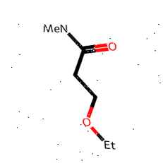 [CH2]COCCC(=O)NC